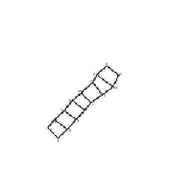 C1CC2C1C1C2C2C1C1C3C4CCC4C3C21